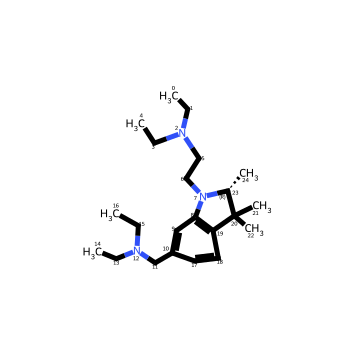 CCN(CC)CCN1c2cc(CN(CC)CC)ccc2C(C)(C)[C@H]1C